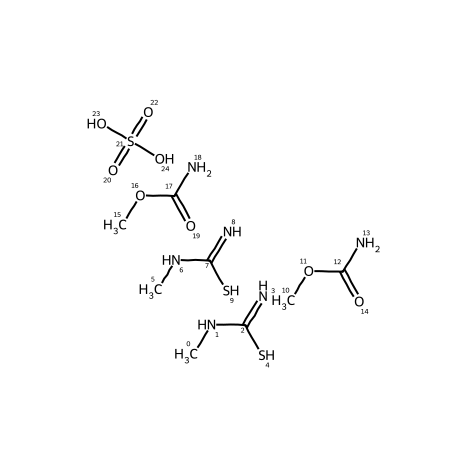 CNC(=N)S.CNC(=N)S.COC(N)=O.COC(N)=O.O=S(=O)(O)O